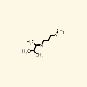 CNCCC/N=C(\C)C(C)C